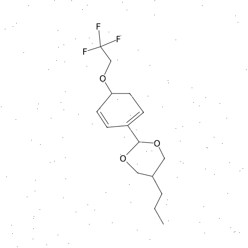 CCCC1COC(C2=CCC(OCC(F)(F)F)C=C2)OC1